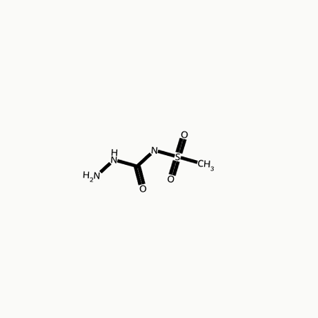 CS(=O)(=O)[N]C(=O)NN